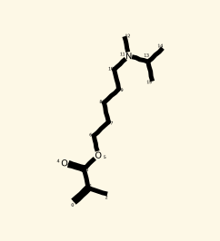 C=C(C)C(=O)OCCCCCN(C)C(C)C